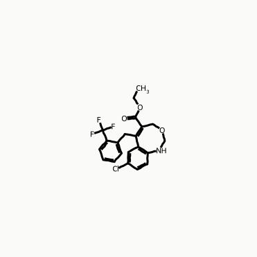 CCOC(=O)/C1=C(\Cc2ccccc2C(F)(F)F)c2cc(Cl)ccc2NCOC1